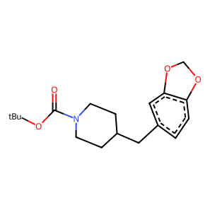 CC(C)(C)OC(=O)N1CCC(Cc2ccc3c(c2)OCO3)CC1